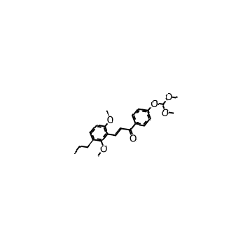 CCCc1ccc(OC)c(/C=C/C(=O)c2ccc(OC(OC)OC)cc2)c1OC